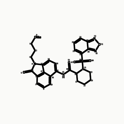 COCCCN1C(=O)c2cccc3c(NC(=O)C4CCCCN4S(=O)(=O)c4cccc5nonc45)ccc1c23